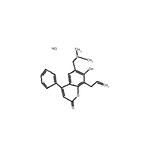 C=CCc1c(O)c(CN(C)C)cc2c(-c3ccccc3)cc(=O)oc12.Cl